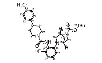 Cc1ccc(C2CCN(C(=O)Nc3c(F)cccc3N3C[C@H]4C[C@@H]3CN4C(=O)OC(C)(C)C)CC2)cc1